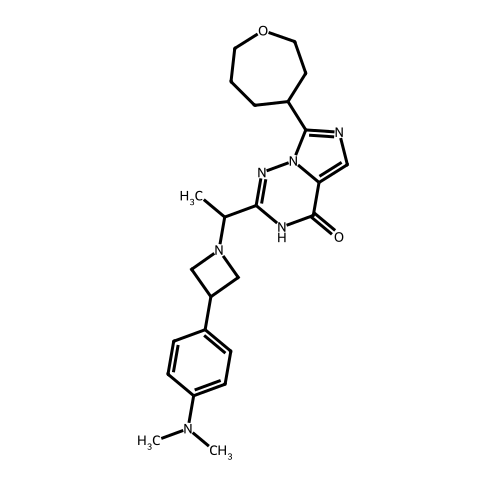 CC(c1nn2c(C3CCCOCC3)ncc2c(=O)[nH]1)N1CC(c2ccc(N(C)C)cc2)C1